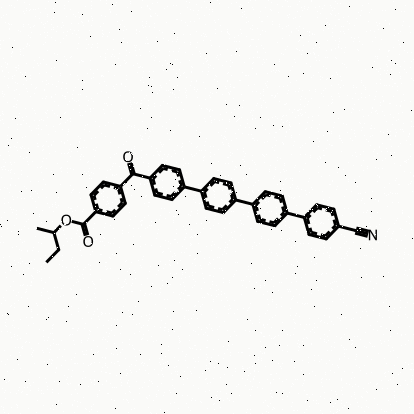 CCC(C)OC(=O)c1ccc(C(=O)c2ccc(-c3ccc(-c4ccc(-c5ccc(C#N)cc5)cc4)cc3)cc2)cc1